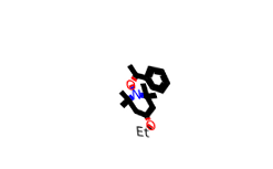 CCOC1CC(C)(C)N(OC(C)c2ccccc2)C(C)(C)C1